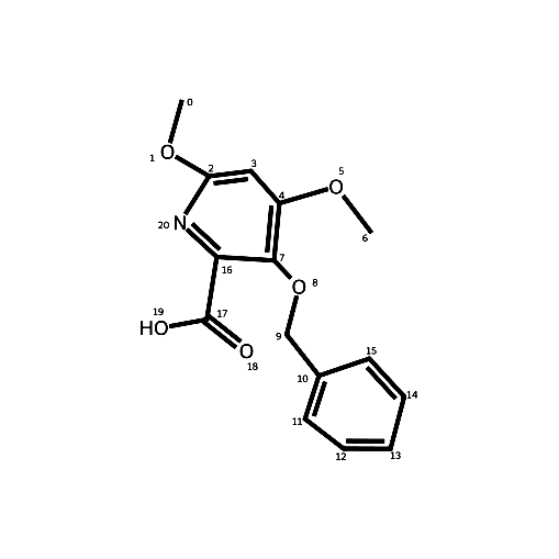 COc1cc(OC)c(OCc2ccccc2)c(C(=O)O)n1